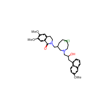 COc1ccc2c(CC(O)CN3CCCCCC(CN4CCc5cc(OC)c(OC)cc5C4=O)C3)cccc2c1.Cl